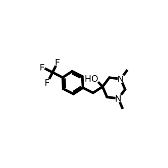 CN1CN(C)CC(O)(Cc2ccc(C(F)(F)F)cc2)C1